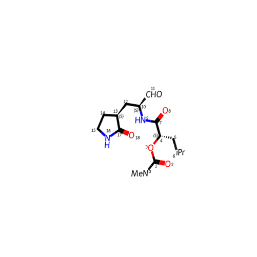 CNC(=O)O[C@@H](CC(C)C)C(=O)N[C@H](C=O)C[C@@H]1CCNC1=O